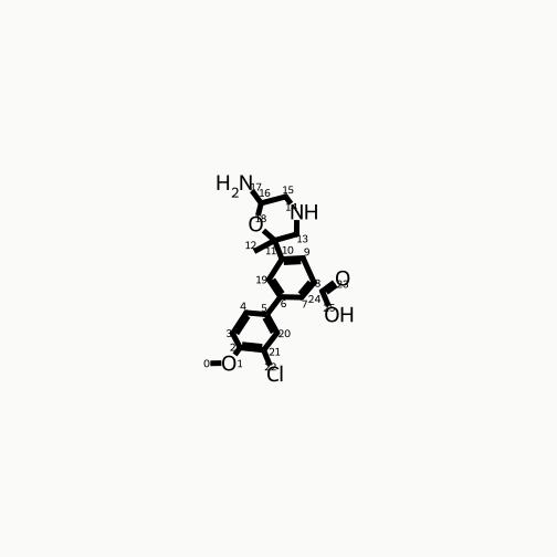 COc1ccc(-c2cccc(C3(C)CNCC(N)O3)c2)cc1Cl.O=CO